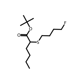 CCCCC(SCCCCF)C(=O)OC(C)(C)C